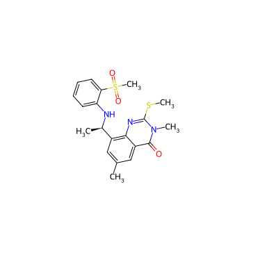 CSc1nc2c([C@@H](C)Nc3ccccc3S(C)(=O)=O)cc(C)cc2c(=O)n1C